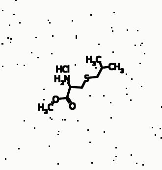 COC(=O)[C@@H](N)CSCC(C)C.Cl